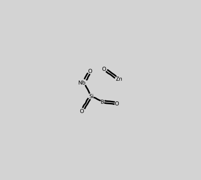 O=B[Si](=O)[Nb]=[O].[O]=[Zn]